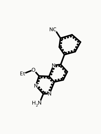 CCOc1nc(N)nc2ccc(-c3cccc(C#N)c3)nc12